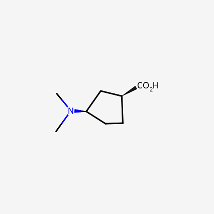 CN(C)[C@@H]1CC[C@H](C(=O)O)C1